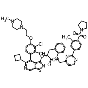 Cc1cc(-c2nccc(COc3ccccc3CC(Oc3nsc4cnc(C5CCC5)c(-c5ccc(OCCN6CCN(C)CC6)c(Cl)c5C)c34)C(=O)O)n2)ccc1S(=O)(=O)N1CCCC1